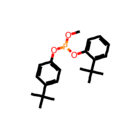 COP(Oc1ccc(C(C)(C)C)cc1)Oc1ccccc1C(C)(C)C